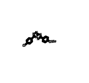 COc1ccc(-c2nn3c(-c4ccc(Cl)cc4)nnc3s2)cc1